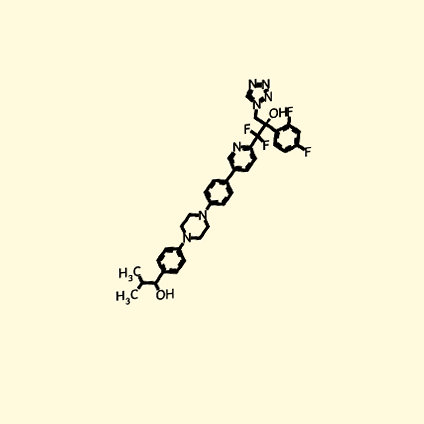 CC(C)C(O)c1ccc(N2CCN(c3ccc(-c4ccc(C(F)(F)[C@](O)(Cn5cnnn5)c5ccc(F)cc5F)nc4)cc3)CC2)cc1